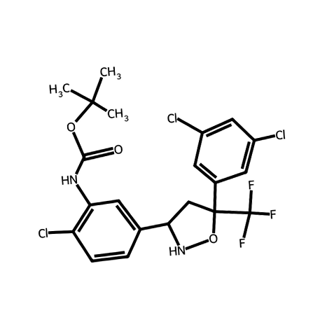 CC(C)(C)OC(=O)Nc1cc(C2CC(c3cc(Cl)cc(Cl)c3)(C(F)(F)F)ON2)ccc1Cl